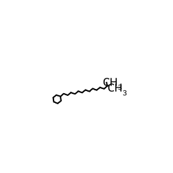 CC(C)CCCCCCCCCCCCC1CCCCC1